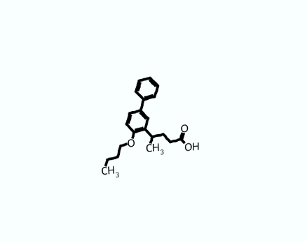 CCCCOc1ccc(-c2ccccc2)cc1C(C)CCC(=O)O